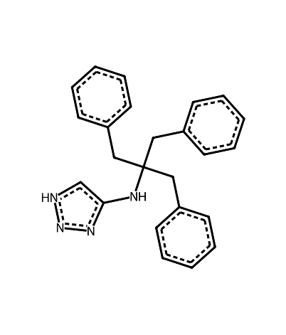 c1ccc(CC(Cc2ccccc2)(Cc2ccccc2)Nc2c[nH]nn2)cc1